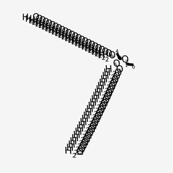 CCOC(C)=O.O.O.O.O.O.O.O.O.O.O.O.O.O.O.O.O.O.O.O.O.O.O.O.O.O.O.O.O.O.O.O.O.O.O.O.O.O.O.O.O.O.O.O.O.O.O.O.O.O.O